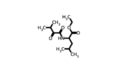 CCOC(=O)C(CC(C)C)NC(=O)C(=O)C(C)C